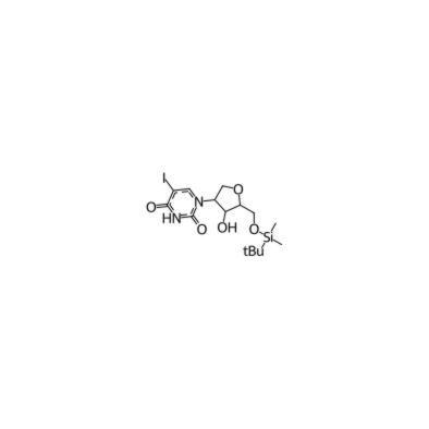 CC(C)(C)[Si](C)(C)OCC1OCC(n2cc(I)c(=O)[nH]c2=O)C1O